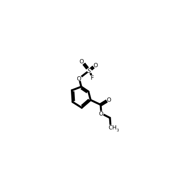 CCOC(=O)c1cccc(OS(=O)(=O)F)c1